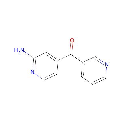 Nc1cc(C(=O)c2cccnc2)ccn1